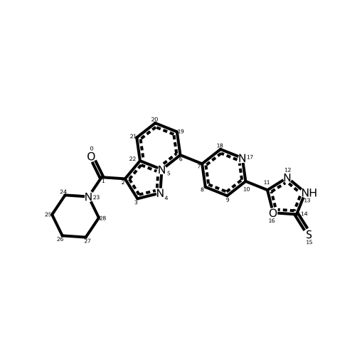 O=C(c1cnn2c(-c3ccc(-c4n[nH]c(=S)o4)nc3)cccc12)N1CCCCC1